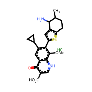 COc1c(-c2cc3c(s2)CCC(C)C3N)c(C2CC2)cc2c(=O)c(C(=O)O)c[nH]c12.Cl